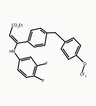 CCOC(=O)/C=C(/Nc1ccc(F)c(F)c1)c1ccc(Cc2ccc(OC(F)(F)F)cc2)cc1